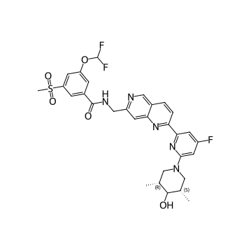 C[C@@H]1CN(c2cc(F)cc(-c3ccc4cnc(CNC(=O)c5cc(OC(F)F)cc(S(C)(=O)=O)c5)cc4n3)n2)C[C@H](C)C1O